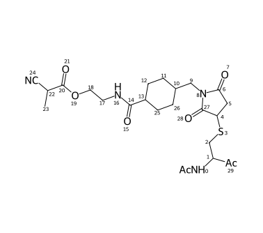 CC(=O)NC(CSC1CC(=O)N(CC2CCC(C(=O)NCCOC(=O)C(C)C#N)CC2)C1=O)C(C)=O